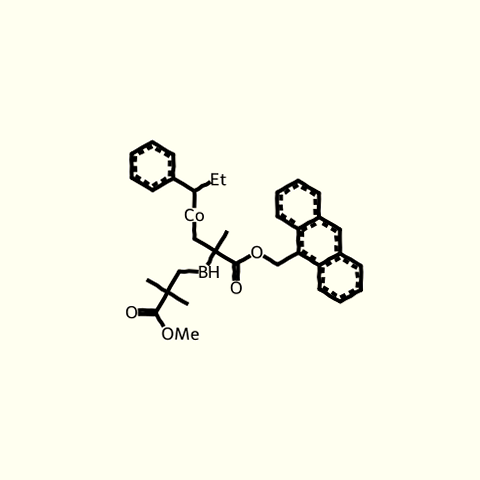 CC[CH]([Co][CH2]C(C)(BCC(C)(C)C(=O)OC)C(=O)OCc1c2ccccc2cc2ccccc12)c1ccccc1